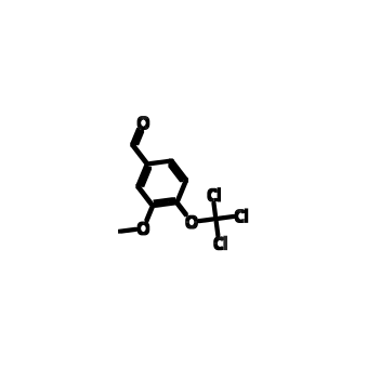 COc1cc(C=O)ccc1OC(Cl)(Cl)Cl